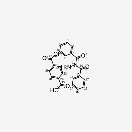 NN(C(=O)c1ccccc1)C(=O)c1ccccc1.O=C(O)c1ccc(C(=O)O)cc1